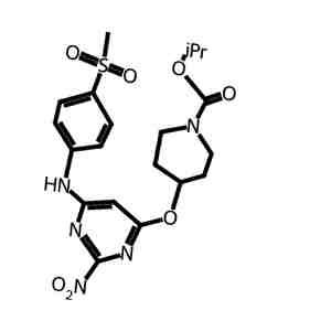 CC(C)OC(=O)N1CCC(Oc2cc(Nc3ccc(S(C)(=O)=O)cc3)nc([N+](=O)[O-])n2)CC1